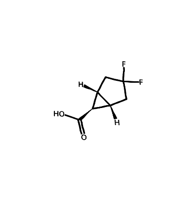 O=C(O)[C@H]1[C@@H]2CC(F)(F)C[C@@H]21